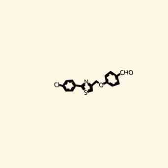 O=Cc1ccc(OCc2csc(-c3ccc(Cl)cc3)n2)cc1